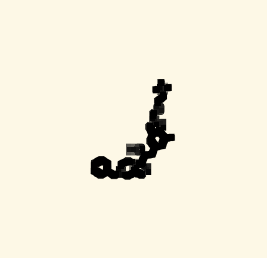 Cc1cc(CC(O)c2ncc3n2CCN(Cc2ccccc2)C3)cc2cn(COCC[Si](C)(C)C)nc12